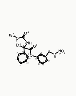 CCC(NC(=O)OC(C)(C)C)(C(=O)Oc1cccc(CO[N+](=O)[O-])c1)c1ccccc1